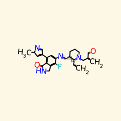 C=C[C@H]1[C@@H](/C=N/c2cc(C3=CC(C)N=C3)c3c(c2F)CNC3=O)CCCN1CC(=C)C=O